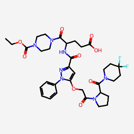 CCOC(=O)N1CCN(C(=O)C(CCC(=O)O)NC(=O)c2cc(OCC(=O)N3CCCC3C(=O)N3CCC(F)(F)CC3)n(-c3ccccc3)n2)CC1